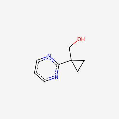 OCC1(c2ncccn2)CC1